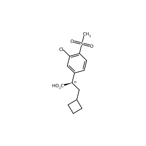 CS(=O)(=O)c1ccc([C@@H](CC2CCC2)C(=O)O)cc1Cl